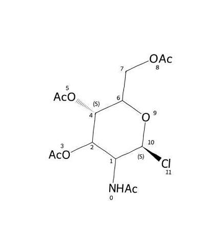 CC(=O)NC1C(OC(C)=O)[C@H](OC(C)=O)C(COC(C)=O)O[C@H]1Cl